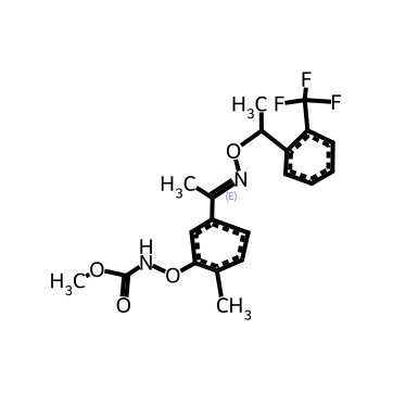 COC(=O)NOc1cc(/C(C)=N/OC(C)c2ccccc2C(F)(F)F)ccc1C